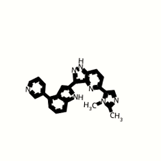 Cc1ncc(-c2ccc3[nH]nc(-c4cc5c(-c6cccnc6)cccc5[nH]4)c3n2)n1C